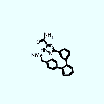 CNCc1ccc(-c2ccccc2-c2cccc(-c3n[nH]c(C(N)=O)n3)c2)cc1